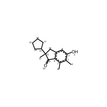 Cc1c(O)cc2c(c1C)C(=O)C(C)(C1CCCC1)C2